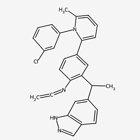 C=C=Nc1ccc(C2=CC=C=C(C)N2c2cccc(Cl)c2)cc1C(C)c1ccc2cn[nH]c2c1